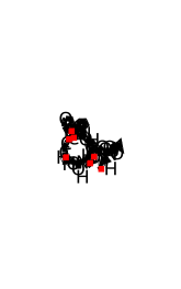 C=C[C@@H]1C[C@]1(NC(=O)[C@@H]1C[C@@H]2CN1C(=O)[C@H](C(C)(C)C)NC(=O)O[C@@H]1C[C@H]1CCCCCc1c(nc3ccccc3c1OC1C3COCC1CN(CC)C3)O2)C(=O)NS(=O)(=O)C1(C)CC1